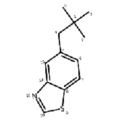 CC(C)(C)Cc1ccc2scnc2c1